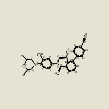 CC1CN(c2ccc(N(C)/C=C(/Cl)c3c(C=O)cccc3-c3ccc(C#N)cc3)cc2Cl)CC(C)O1